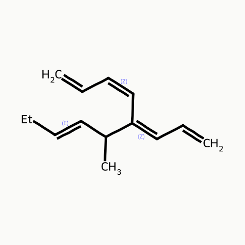 C=C/C=C\C(=C/C=C)C(C)/C=C/CC